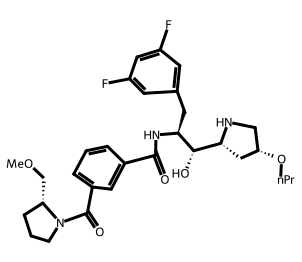 CCCO[C@H]1CN[C@@H]([C@H](O)[C@H](Cc2cc(F)cc(F)c2)NC(=O)c2cccc(C(=O)N3CCC[C@@H]3COC)c2)C1